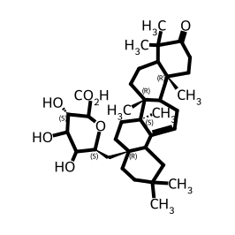 CC1(C)CC[C@]2(C[C@@H]3OC(C(=O)O)[C@@H](O)C(O)C3O)CC[C@]3(C)C(=CCC4[C@@]5(C)CCC(=O)C(C)(C)C5CC[C@]43C)C2C1